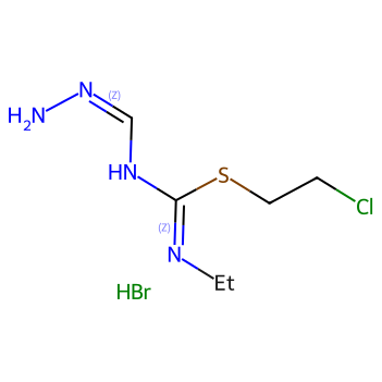 Br.CC/N=C(/N/C=N\N)SCCCl